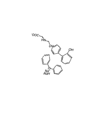 O=C([O-])CNCO.Oc1ccccc1-c1ccccc1.[Na+].[NaH].c1ccc(Oc2ccccc2)cc1